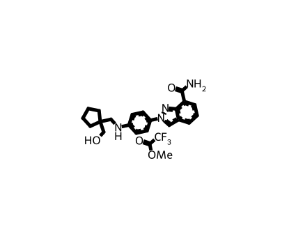 COC(=O)C(F)(F)F.NC(=O)c1cccc2cn(-c3ccc(NCC4(CO)CCCC4)cc3)nc12